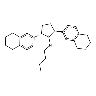 CCCCNP1[C@H](c2ccc3c(c2)CCCC3)CC[C@H]1c1ccc2c(c1)CCCC2